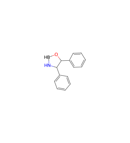 B1NC(c2ccccc2)C(c2ccccc2)O1